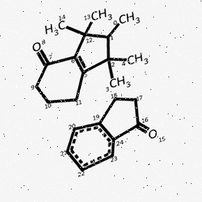 CC1C(C)(C)C2=C(C(=O)CCC2)C1(C)C.O=C1CCc2ccccc21